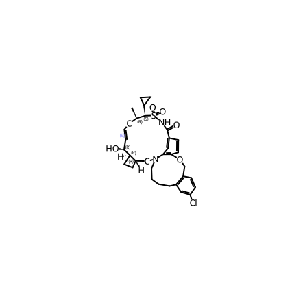 C[C@@H]1C/C=C/[C@H](O)[C@@H]2CC[C@H]2CN2CCCCc3cc(Cl)ccc3COc3ccc(cc32)C(=O)NS(=O)(=O)[C@@H]1C1CC1